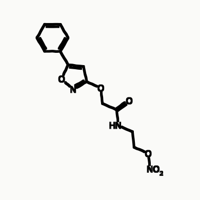 O=C(COc1cc(-c2ccccc2)on1)NCCO[N+](=O)[O-]